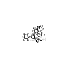 CC(C)(C)OC(C(=O)O)c1ccc(-c2ccccc2)cc1-c1ccc2c(c1)CCCO2